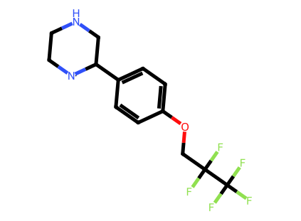 FC(F)(F)C(F)(F)COc1ccc(C2CNCC[N]2)cc1